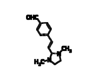 CN1CCN(C)C1C=Cc1ccc(C=O)cc1